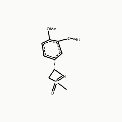 CCOc1cc([C@H]2CS(C)(=O)=N2)ccc1OC